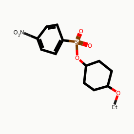 CCOC1CCC(OS(=O)(=O)c2ccc([N+](=O)[O-])cc2)CC1